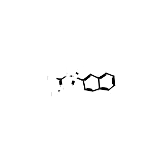 CC(=NO)NS(=O)(=O)c1ccc2ccccc2c1